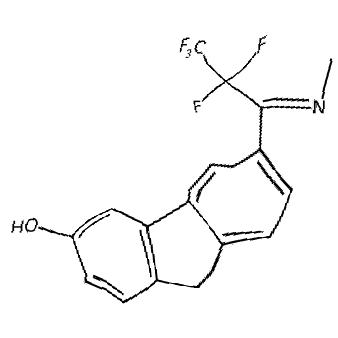 C/N=C(/c1ccc2c(c1)-c1cc(O)ccc1C2)C(F)(F)C(F)(F)F